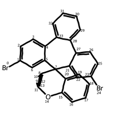 Brc1ccc2c(c1)C1(c3ccccc3Oc3ccccc31)c1cc(Br)ccc1-c1ccccc1-2